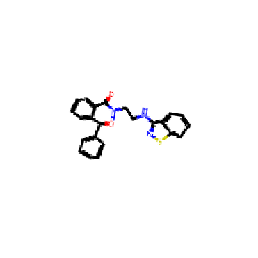 O=C(NCCNc1nsc2ccccc12)c1ccccc1C(=O)c1ccccc1